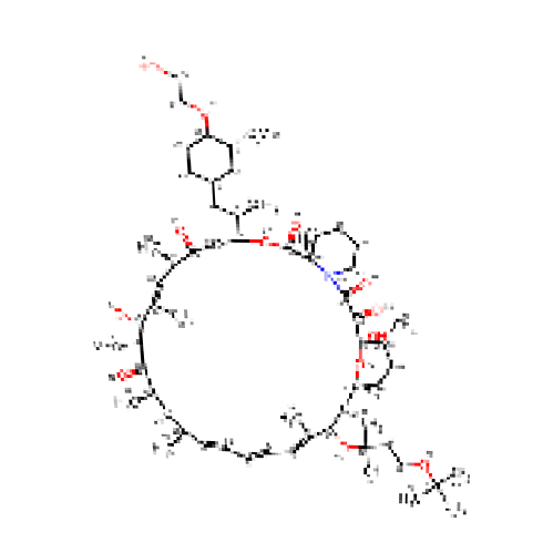 CO[C@@H]1CC(C[C@@H](C)C2CC(=O)[C@H](C)/C=C(\C)[C@@H](O)[C@@H](OC)C(=O)[C@H](C)C[C@H](C)/C=C/C=C/C=C(\C)[C@@H](OC(C)(C)CCOC(C)(C)C(F)(F)F)C[C@@H]3CC[C@@H](C)[C@@](O)(O3)C(=O)C(=O)N3CCCC[C@H]3C(=O)O2)CC[C@H]1OCCO